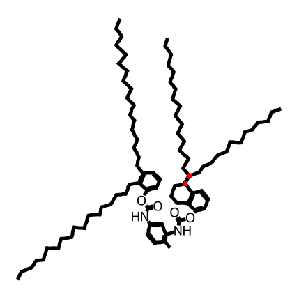 CCCCCCCCCCCCCCCCCCc1cccc(OC(=O)Nc2ccc(C)c(NC(=O)Oc3cccc(CCCCCCCCCCCCCCCCCC)c3CCCCCCCCCCCCCCCCCC)c2)c1CCCCCCCCCCCCCCCCCC